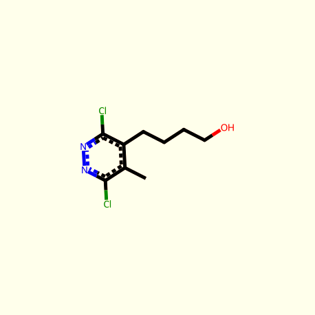 Cc1c(Cl)nnc(Cl)c1CCCCO